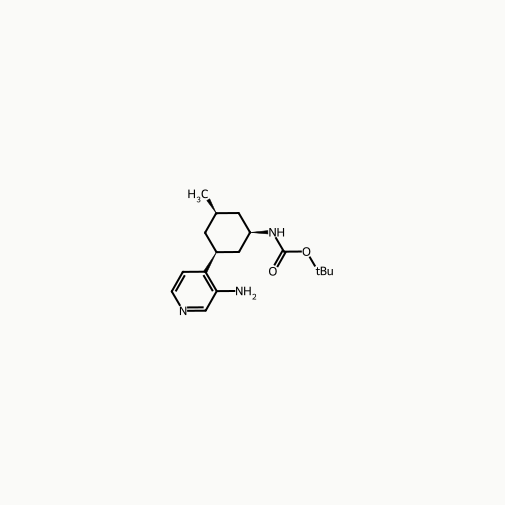 C[C@H]1C[C@@H](NC(=O)OC(C)(C)C)C[C@@H](c2ccncc2N)C1